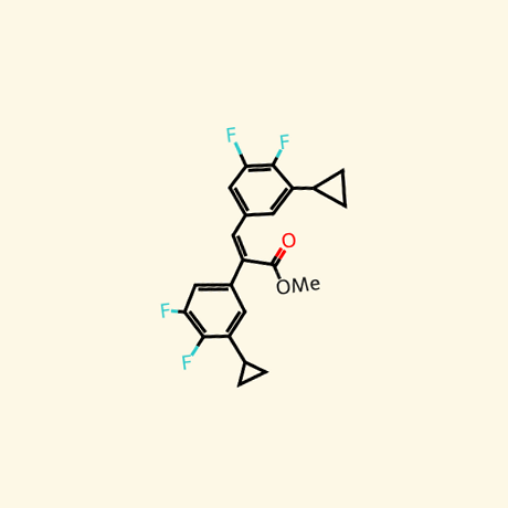 COC(=O)C(=Cc1cc(F)c(F)c(C2CC2)c1)c1cc(F)c(F)c(C2CC2)c1